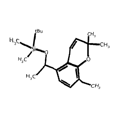 Cc1ccc(C(C)O[Si](C)(C)C(C)(C)C)c2c1OC(C)(C)C=C2